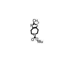 Cc1nc2c(s1)CCN(C(=O)OC(C)(C)C)CC2